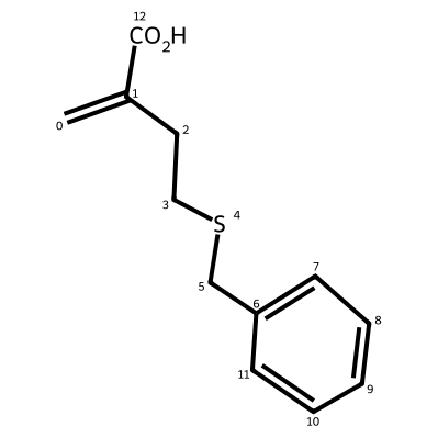 C=C(CCSCc1ccccc1)C(=O)O